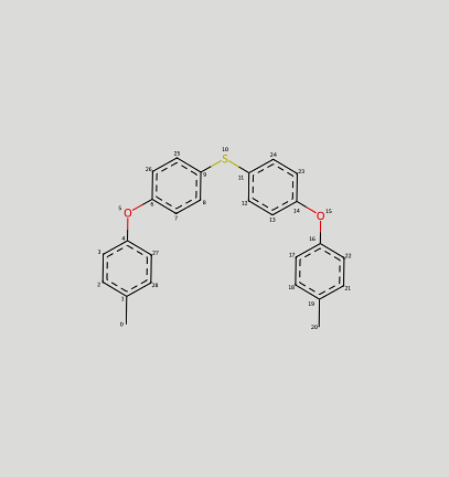 Cc1ccc(Oc2ccc(Sc3ccc(Oc4ccc(C)cc4)cc3)cc2)cc1